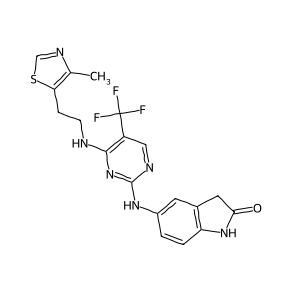 Cc1ncsc1CCNc1nc(Nc2ccc3c(c2)CC(=O)N3)ncc1C(F)(F)F